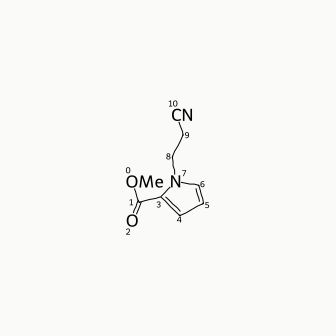 COC(=O)c1cccn1CCC#N